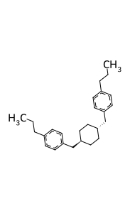 CCCc1ccc(C[C@H]2CC[C@H](Cc3ccc(CCC)cc3)CC2)cc1